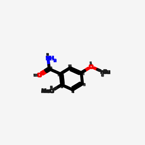 CCCCOc1ccc(OC)c(C(N)=O)c1